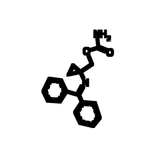 NC(=O)OCC1(N=C(c2ccccc2)c2ccccc2)CC1